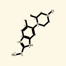 CCN1CCN(c2cc3[nH]c(SC(C)(C)C)nc3cc2C)C(C)C1